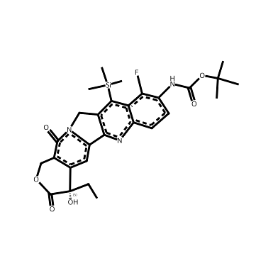 CC[C@@]1(O)C(=O)OCc2c1cc1n(c2=O)Cc2c-1nc1ccc(NC(=O)OC(C)(C)C)c(F)c1c2[Si](C)(C)C